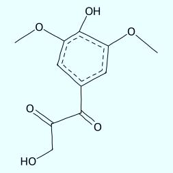 COc1cc(C(=O)C(=O)CO)cc(OC)c1O